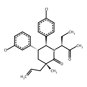 C=CC[C@]1(C)C[C@H](c2cccc(Cl)c2)[C@@H](c2ccc(Cl)cc2)N([C@@H](CC)C(C)=O)C1=O